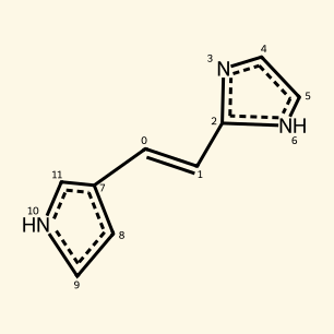 C(=Cc1ncc[nH]1)c1cc[nH]c1